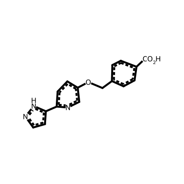 O=C(O)c1ccc(COc2ccc(-c3ccn[nH]3)nc2)cc1